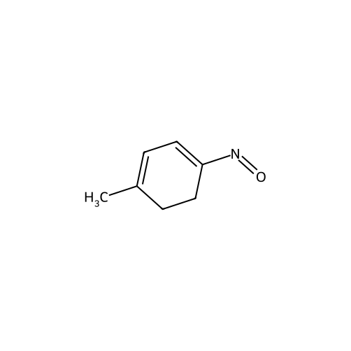 CC1=CC=C(N=O)CC1